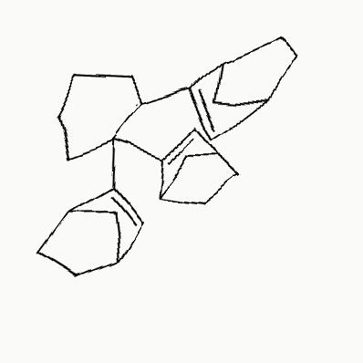 C1=C([C]2CCCCC2(C2=CC3CCC2C3)C2=CC3CCC2C3)C2CCC1C2